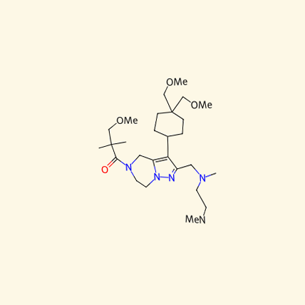 CNCCN(C)Cc1nn2c(c1C1CCC(COC)(COC)CC1)CN(C(=O)C(C)(C)COC)CC2